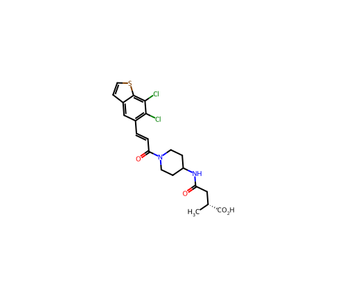 C[C@H](CC(=O)NC1CCN(C(=O)/C=C/c2cc3ccsc3c(Cl)c2Cl)CC1)C(=O)O